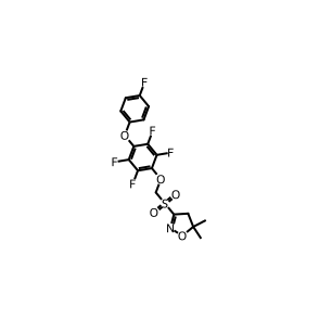 CC1(C)CC(S(=O)(=O)COc2c(F)c(F)c(Oc3ccc(F)cc3)c(F)c2F)=NO1